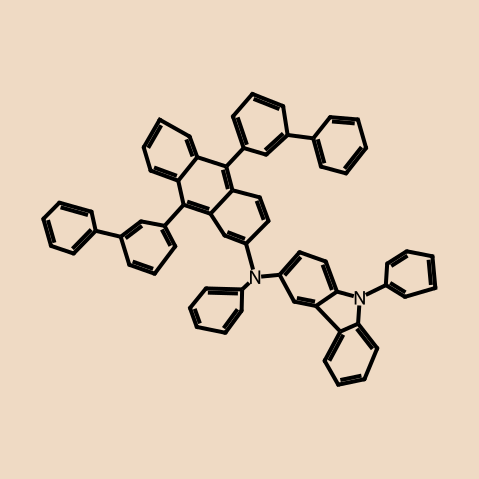 c1ccc(-c2cccc(-c3c4ccccc4c(-c4cccc(-c5ccccc5)c4)c4cc(N(c5ccccc5)c5ccc6c(c5)c5ccccc5n6-c5ccccc5)ccc34)c2)cc1